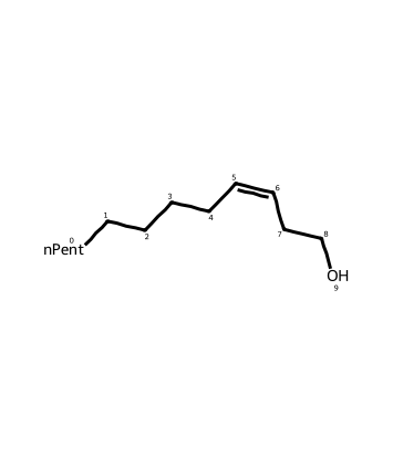 CCCCCCCCC/C=C\CCO